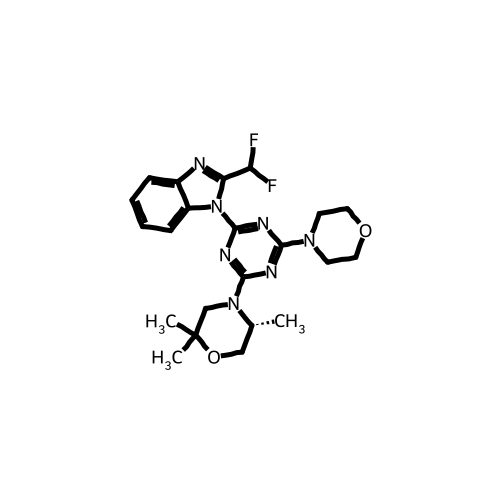 C[C@@H]1COC(C)(C)CN1c1nc(N2CCOCC2)nc(-n2c(C(F)F)nc3ccccc32)n1